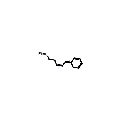 CCOCC/C=C\C=C1\C=CC=CC1